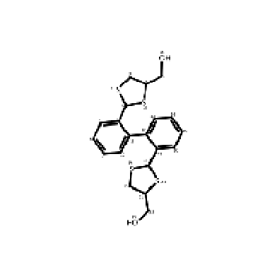 OCC1CSC(c2ccccc2-c2ccccc2C2SCC(CO)S2)S1